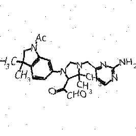 CC(=O)N1CC(C)(C)c2ccc(N3CN(Cc4ccnc(N)n4)C(C)(C)C3C(=O)C=O)cc21